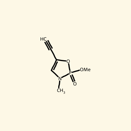 C#CC1=CN(C)P(=O)(OC)O1